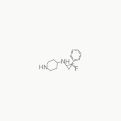 F[C@@]1(c2ccccc2)CC1NC1CCNCC1